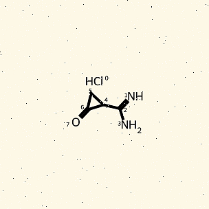 Cl.N=C(N)C1CC1=O